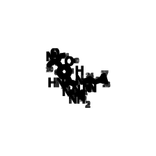 COc1cc2c(cc1-c1c(C)noc1C)[nH]c1nc(N)nc(Nc3cc(C4CC4)nn3C3CC3)c12